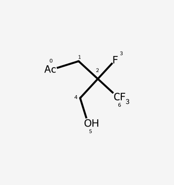 CC(=O)CC(F)(CO)C(F)(F)F